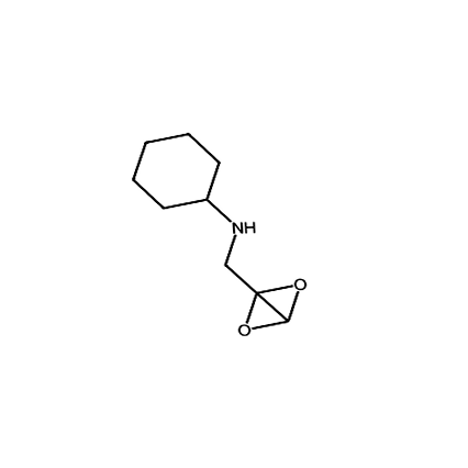 C1CCC(NCC23OC2O3)CC1